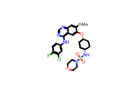 COc1cc2ncnc(Nc3ccc(F)c(Cl)c3)c2cc1O[C@H]1CC[C@@H](NS(=O)(=O)N2CCOCC2)CC1